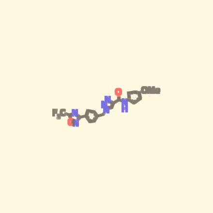 COc1ccc(NC(=O)c2cn(Cc3ccc(-c4noc(C(F)(F)F)n4)cc3)nn2)cc1